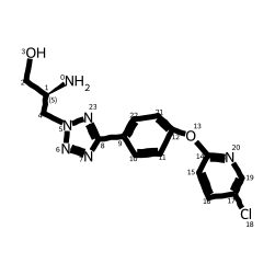 N[C@H](CO)Cn1nnc(-c2ccc(Oc3ccc(Cl)cn3)cc2)n1